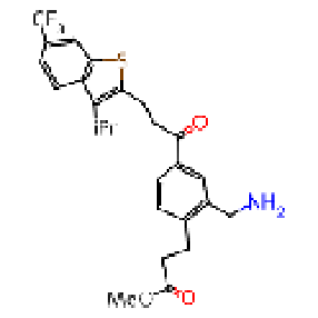 COC(=O)CCc1ccc(C(=O)CCc2sc3cc(C(F)(F)F)ccc3c2C(C)C)cc1CN